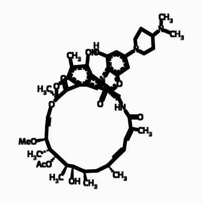 CO[C@H]1/C=C/O[C@@]2(C)Oc3c(C)c(O)c4c(=O)c(c5oc6cc(N7CCC(N(C)C)CC7)cc(O)c6nc-5c4c3C2=O)NC(=O)/C(C)=C\C=C\[C@H](C)C[C@@H](C)[C@@H](O)[C@@H](C)[C@H](OC(C)=O)[C@@H]1C